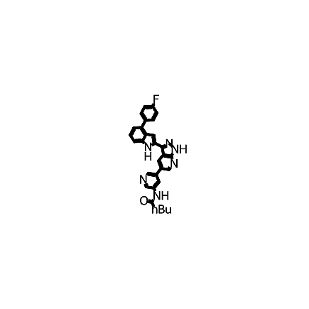 CCCCC(=O)Nc1cncc(-c2cnc3[nH]nc(-c4cc5c(-c6ccc(F)cc6)cccc5[nH]4)c3c2)c1